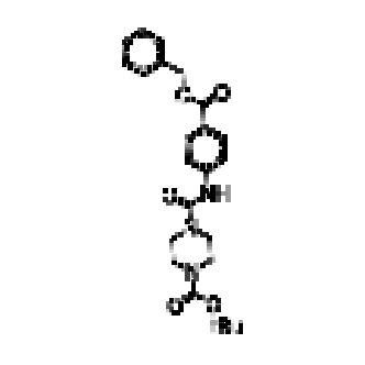 CC(C)(C)OC(=O)N1CCN(C(=O)Nc2ccc(C(=O)OCc3ccccc3)cc2)CC1